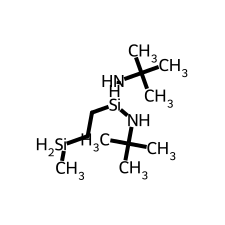 C[SiH2]CC[SiH](NC(C)(C)C)NC(C)(C)C